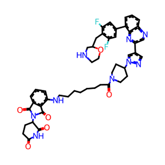 O=C1CCC(N2C(=O)c3cccc(NCCCCCCCC(=O)N4CCC(n5cc(-c6cnc7cccc(-c8cc(F)c(CC9CNCCO9)c(F)c8)c7n6)cn5)CC4)c3C2=O)C(=O)N1